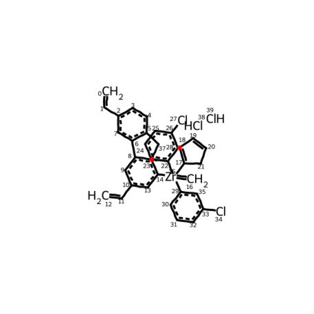 C=Cc1ccc2c(c1)-c1cc(C=C)c[c]([Zr](=[CH2])([C]3=CC=CC3)([c]3cccc(Cl)c3)[c]3cccc(Cl)c3)c1C2.Cl.Cl